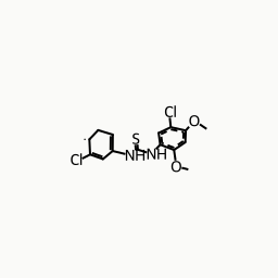 COc1cc(OC)c(NC(=S)NC2=CC[CH]C(Cl)=C2)cc1Cl